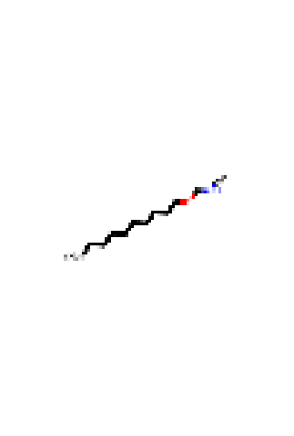 CCCCCCCCCCCCCCCCCCOCNCCC